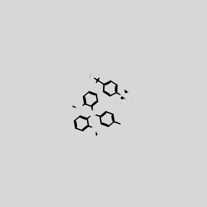 COc1ccccc1[S+](c1ccc(C)cc1)c1ccccc1OC.O=S(=O)([O-])c1ccc(C(F)(F)F)cc1